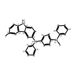 Cc1ccc2[nH]c3ccc(N(c4ccccc4)c4ccc(N(C)c5ccccc5)cc4)cc3c2c1